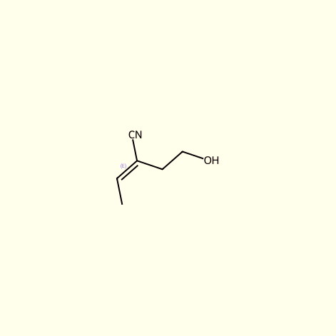 C/C=C(/C#N)CCO